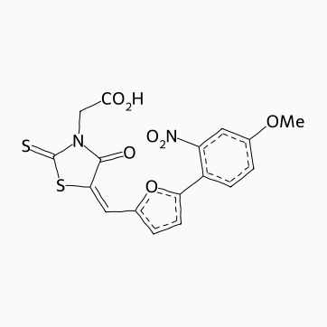 COc1ccc(-c2ccc(C=C3SC(=S)N(CC(=O)O)C3=O)o2)c([N+](=O)[O-])c1